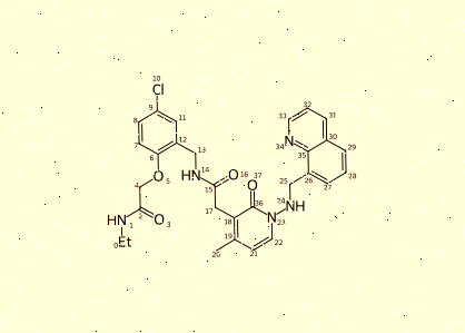 CCNC(=O)COc1ccc(Cl)cc1CNC(=O)Cc1c(C)ccn(NCc2cccc3cccnc23)c1=O